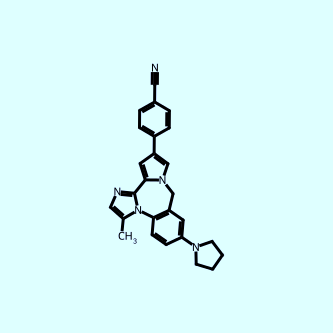 Cc1cnc2n1-c1ccc(N3CCCC3)cc1Cn1cc(-c3ccc(C#N)cc3)cc1-2